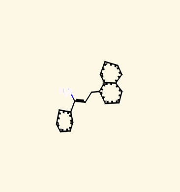 N/C(=C\Cc1cccc2ccccc12)c1ccccc1